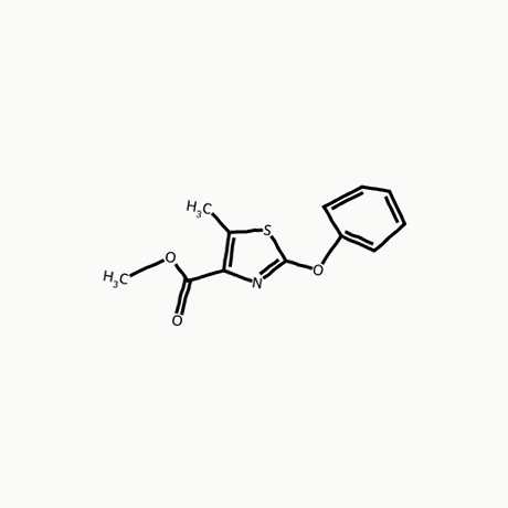 COC(=O)c1nc(Oc2ccccc2)sc1C